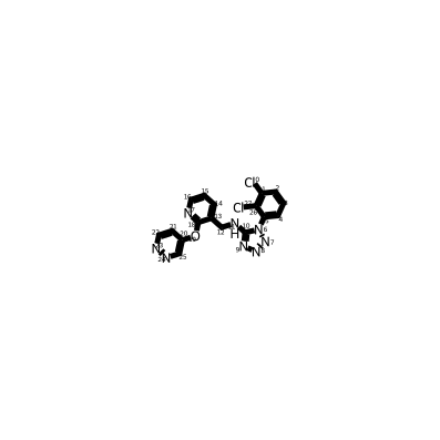 Clc1cccc(-n2nnnc2NCc2cccnc2Oc2ccnnc2)c1Cl